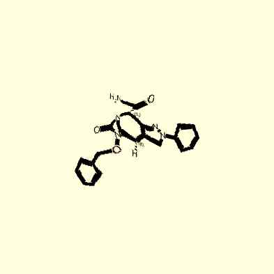 NC(=O)[C@@H]1c2nn(-c3ccccc3)cc2[C@@H]2CN1C(=O)N2OCc1ccccc1